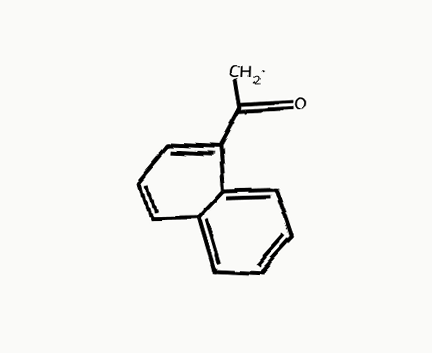 [CH2]C(=O)c1cccc2ccccc12